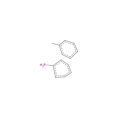 Cc1ccccc1.Pc1ccccc1